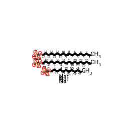 CCCCCCCCC=CCCCCCCCCOS(=O)(=O)[O-].CCCCCCCCCCCCCCCCCCOS(=O)(=O)[O-].CCCCCCCCCCCCOS(=O)(=O)[O-].[Na+].[Na+].[Na+]